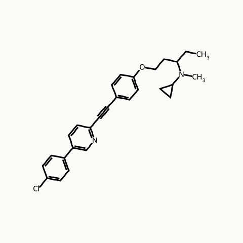 CCC(CCOc1ccc(C#Cc2ccc(-c3ccc(Cl)cc3)cn2)cc1)N(C)C1CC1